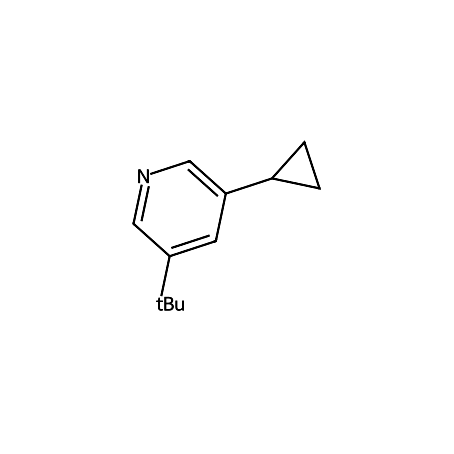 CC(C)(C)c1cncc(C2CC2)c1